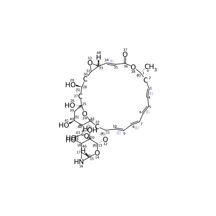 C[C@@H]1C/C=C/C=C/C=C/C=C/[C@H](O[C@@H]2O[C@@H]3NC3C(O)C2O)C[C@@H]2O[C@](O)(C[C@@H](O)CC3O[C@@H]3/C=C/C(=O)O1)C[C@H](O)[C@H]2C(=O)O